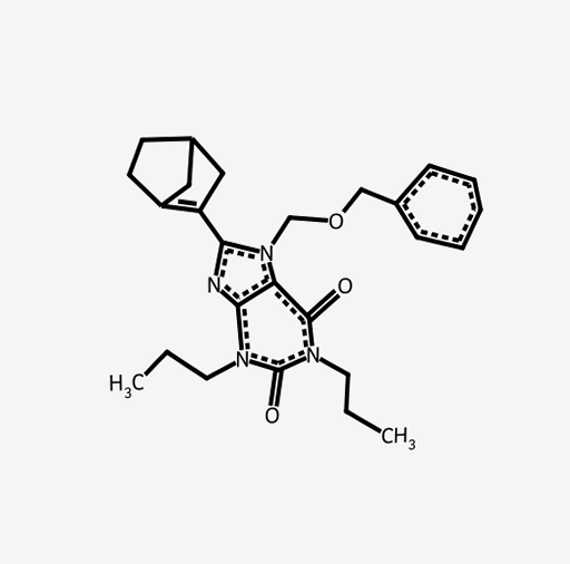 CCCn1c(=O)c2c(nc(C3=C4CCC(C4)C3)n2COCc2ccccc2)n(CCC)c1=O